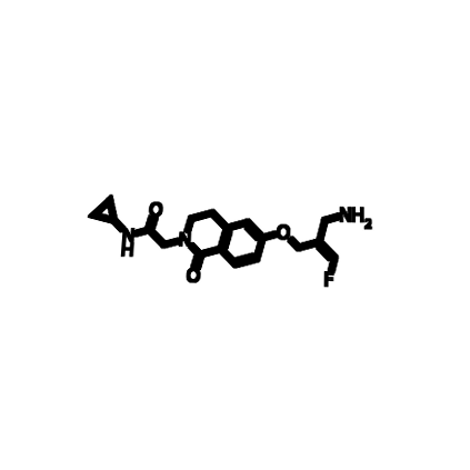 NC/C(=C/F)COc1ccc2c(c1)CCN(CC(=O)NC1CC1)C2=O